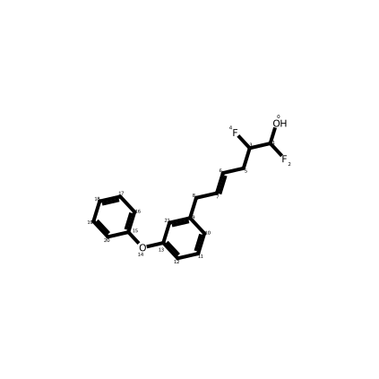 OC(F)C(F)CC=CCc1cccc(Oc2ccccc2)c1